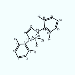 Cc1cccc(C)c1N1C=CN(c2c(C)cccc2C)[Si]1(C)C